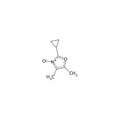 Cc1oc(C2CC2)[n+]([O-])c1C